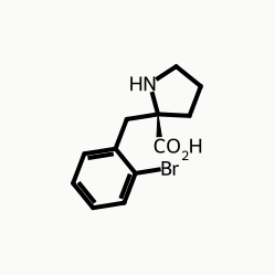 O=C(O)[C@]1(Cc2ccccc2Br)CCCN1